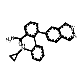 NC(=O)c1cccc(-c2ccc3cnncc3c2)c1-c1ccccc1NC1CC1